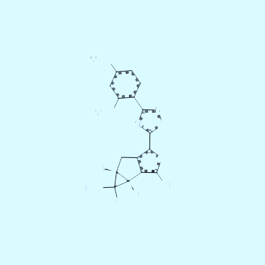 COc1ccc(-c2noc(-c3sc(C)c4c3C[C@@H]3[C@H]4C3(C)C)n2)c(OC)c1